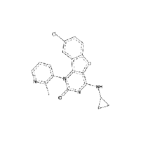 Cc1ncccc1-n1c(=O)nc(NC2CC2)c2oc3ccc(Cl)cc3c21